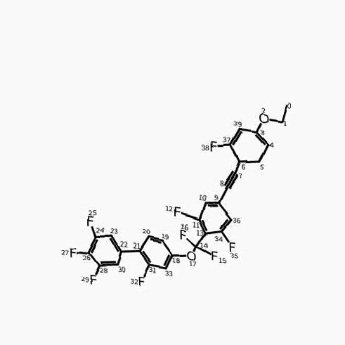 CCOC1=CCC(C#Cc2cc(F)c(C(F)(F)Oc3ccc(-c4cc(F)c(F)c(F)c4)c(F)c3)c(F)c2)C(F)=C1